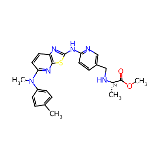 COC(=O)[C@H](C)NCc1ccc(Nc2nc3ccc(N(C)c4ccc(C)cc4)nc3s2)nc1